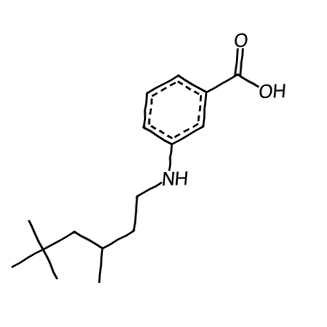 CC(CCNc1cccc(C(=O)O)c1)CC(C)(C)C